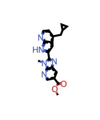 COC(=O)c1cnc2c(c1)nc(-c1cc3c(CC4CC4)ccnc3[nH]1)n2C